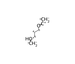 [CH2-][CH+]OCCC[OH+][CH2-]